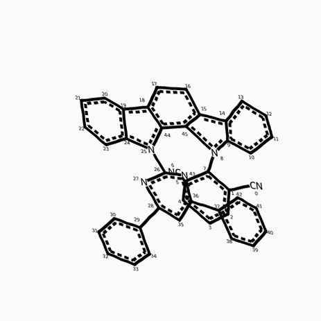 N#Cc1cccc(C#N)c1-n1c2ccccc2c2ccc3c4ccccc4n(-c4nc(-c5ccccc5)cc(-c5ccccc5)n4)c3c21